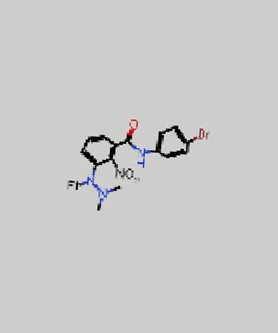 CCN(c1cccc(C(=O)Nc2ccc(Br)cc2)c1[N+](=O)[O-])N(C)C